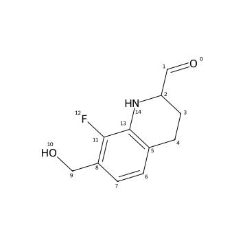 O=CC1CCc2ccc(CO)c(F)c2N1